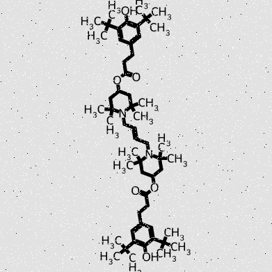 CC(C)(C)c1cc(CCC(=O)OC2CC(C)(C)N(C/C=C/CN3C(C)(C)CC(OC(=O)CCc4cc(C(C)(C)C)c(O)c(C(C)(C)C)c4)CC3(C)C)C(C)(C)C2)cc(C(C)(C)C)c1O